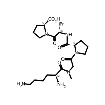 CC(C)[C@H](NC(=O)[C@@H]1CCCN1C(=O)CN(C)C(=O)[C@@H](N)CCCCN)C(=O)N1CCC[C@H]1C(=O)O